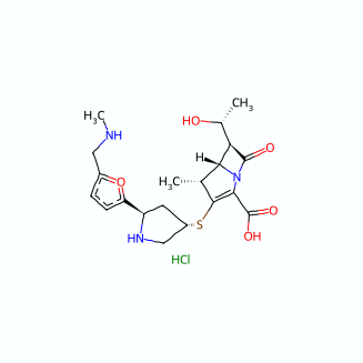 CNCc1ccc([C@H]2C[C@H](SC3=C(C(=O)O)N4C(=O)[C@H]([C@@H](C)O)[C@H]4[C@H]3C)CN2)o1.Cl